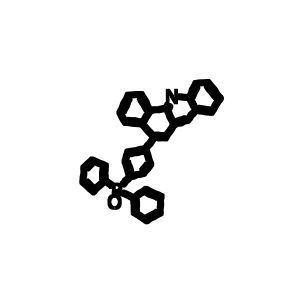 O=P(c1ccccc1)(c1ccccc1)c1ccc(-c2cc3cc4ccccc4nc3c3ccccc23)cc1